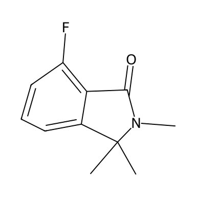 CN1C(=O)c2c(F)cccc2C1(C)C